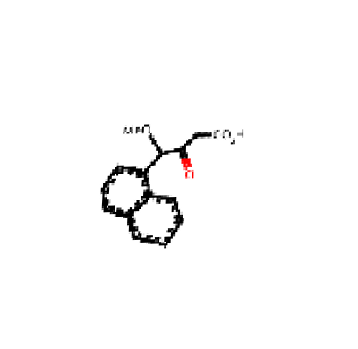 COC(C(=O)CC(=O)O)c1cccc2ccccc12